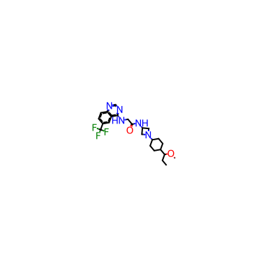 CCC(OC)C1CCC(N2CC(NC(=O)CNc3ncnc4ccc(C(F)(F)F)cc34)C2)CC1